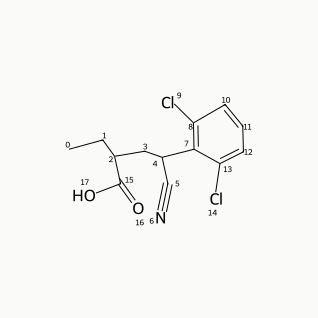 CCC(CC(C#N)c1c(Cl)cccc1Cl)C(=O)O